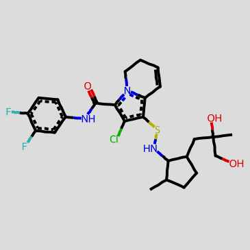 CC1CCC(CC(C)(O)CO)C1NSc1c(Cl)c(C(=O)Nc2ccc(F)c(F)c2)n2c1C=CCC2